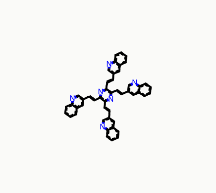 C(=Cc1nc(C=Cc2cnc3ccccc3c2)c(C=Cc2cnc3ccccc3c2)nc1C=Cc1cnc2ccccc2c1)c1cnc2ccccc2c1